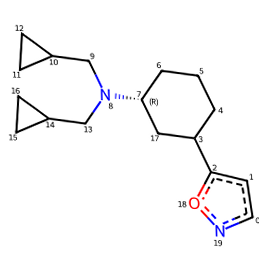 c1cc(C2CCC[C@@H](N(CC3CC3)CC3CC3)C2)on1